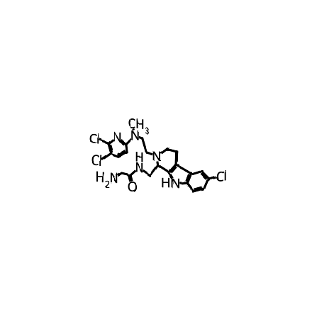 CN(CCN1CCc2c([nH]c3ccc(Cl)cc23)C1CNC(=O)CN)c1ccc(Cl)c(Cl)n1